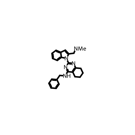 CNCc1cc2ccccc2n1-c1nc2c(c(NCc3ccccc3)n1)CCCC2